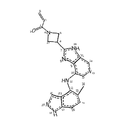 C=CC(=O)N1CC(c2nc3c(Nc4c(C)ccc5[nH]ncc45)cncc3[nH]2)C1